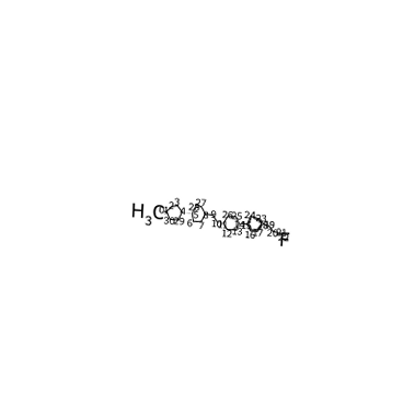 C[C@H]1CC[C@H](C2CCC(CC[C@H]3CC[C@H](c4ccc(CCCF)cc4)CC3)CC2)CC1